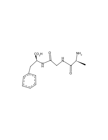 C[C@H](N)C(=O)NCC(=O)N[C@@H](Cc1ccccc1)C(=O)O